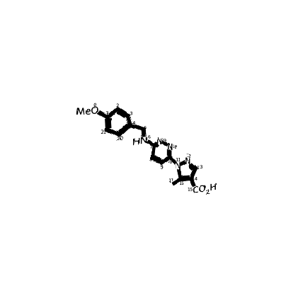 COc1ccc(CNc2ccc(-n3ncc(C(=O)O)c3C)nn2)cc1